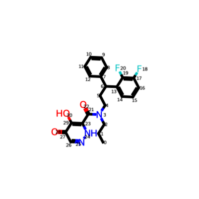 CCCN(CCC(c1ccccc1)c1cccc(F)c1F)C(=O)c1[nH]ncc(=O)c1O